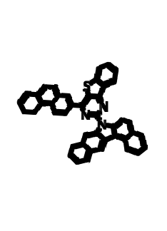 C1=Cc2ccc3cc(-c4nc(-n5c6cc7ccccc7cc6c6c7ccccc7ccc65)nc5c4sc4ccccc45)ccc3c2CC1